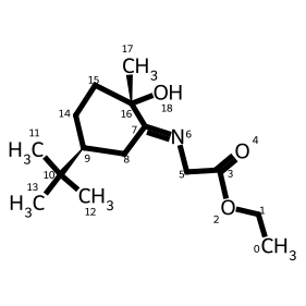 CCOC(=O)C/N=C1\C[C@@H](C(C)(C)C)CC[C@]1(C)O